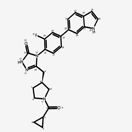 O=C(C1CC1)N1CC[C@@H](Cc2n[nH]c(=O)n2-c2ccc(-c3ccc4cc[nH]c4c3)cc2F)C1